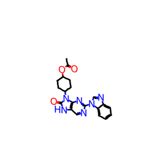 CC(=O)OC1CCC(n2c(=O)[nH]c3cnc(-n4cnc5ccccc54)nc32)CC1